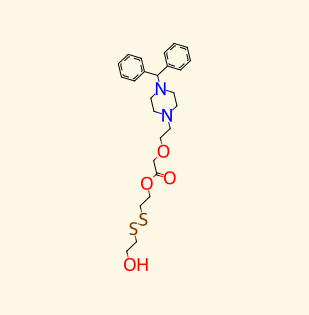 O=C(COCCN1CCN(C(c2ccccc2)c2ccccc2)CC1)OCCSSCCO